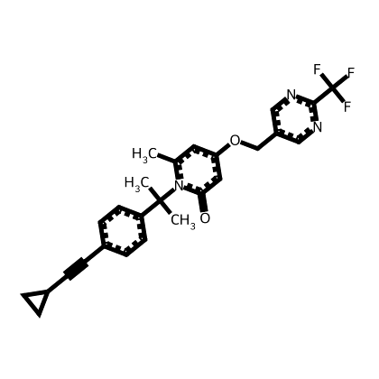 Cc1cc(OCc2cnc(C(F)(F)F)nc2)cc(=O)n1C(C)(C)c1ccc(C#CC2CC2)cc1